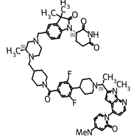 CNc1ccn(-c2ccnc3c2cc([C@H](C)N2CCC(c4c(F)cc(C(=O)N5CCC(CN6CCN(Cc7ccc8c(c7)C(C)(C)C(=O)N8[C@H]7CCC(=O)NC7=O)C[C@@H]6C)CC5)cc4F)CC2)n3C)c(=O)c1